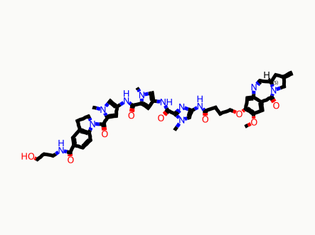 C=C1C[C@H]2C=Nc3cc(OCCCC(=O)Nc4cn(C)c(C(=O)Nc5cc(C(=O)Nc6cc(C(=O)N7CCc8cc(C(=O)NCCCO)ccc87)n(C)c6)n(C)c5)n4)c(OC)cc3C(=O)N2C1